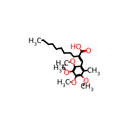 CCCCCCCCCC(=Cc1c(C)c(OC)c(OC)c(OC)c1OC)C(=O)O